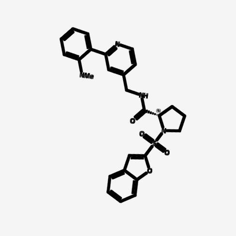 CNc1ccccc1-c1cc(CNC(=O)[C@@H]2CCCN2S(=O)(=O)c2cc3ccccc3o2)ccn1